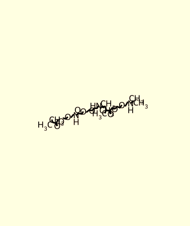 CC(C)NCCOCCOCC(=O)C(C)CC(C)(C)NCCOCCOCC(=O)NCCOCCOCC(=O)C(C)C